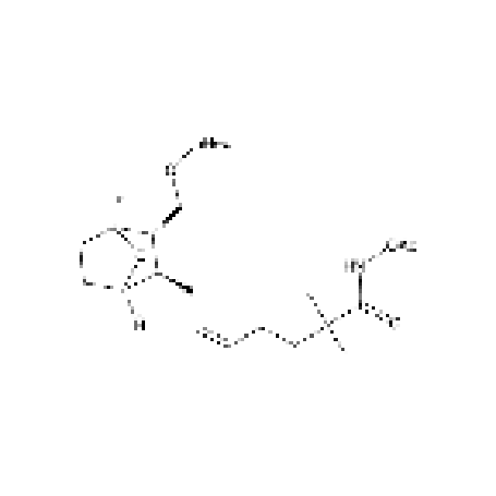 CCCCCCOC[C@H]1[C@@H](C/C=C\CCC(C)(C)C(=O)NOC(C)=O)[C@H]2CC[C@@H]1O2